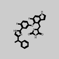 CC(c1ccccc1)c1c[nH]c(-c2cc(Oc3c(F)cc4[nH]ccc4c3CC3SC(=O)NC3=O)ccc2F)n1